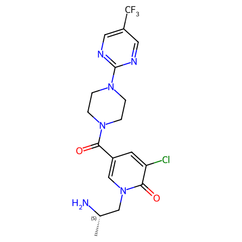 C[C@H](N)Cn1cc(C(=O)N2CCN(c3ncc(C(F)(F)F)cn3)CC2)cc(Cl)c1=O